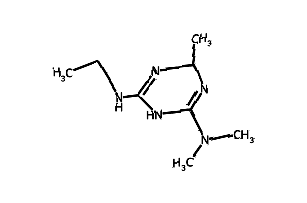 CCNC1=NC(C)N=C(N(C)C)N1